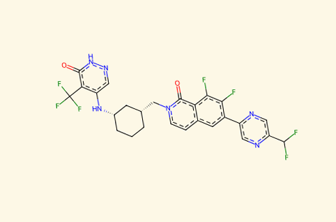 O=c1[nH]ncc(N[C@H]2CCC[C@@H](Cn3ccc4cc(-c5cnc(C(F)F)cn5)c(F)c(F)c4c3=O)C2)c1C(F)(F)F